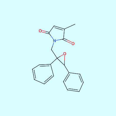 CC1=CC(=O)N(CC2(c3ccccc3)OC2c2ccccc2)C1=O